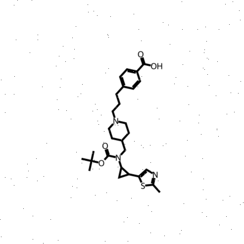 Cc1ncc(C2CC2N(CC2CCN(CCCc3ccc(C(=O)O)cc3)CC2)C(=O)OC(C)(C)C)s1